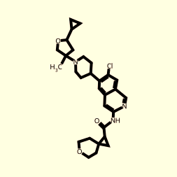 CC1(N2CCC(c3cc4cc(NC(=O)C5CC56CCOCC6)ncc4cc3Cl)CC2)COC(C2CC2)C1